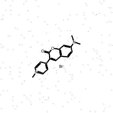 CN(C)c1ccc2cc(-c3cc[n+](C)cc3)c(=O)oc2c1.[Br-]